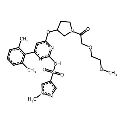 COCCOCC(=O)N1CCC(Oc2cc(-c3c(C)cccc3C)nc(NS(=O)(=O)c3cnn(C)c3)n2)C1